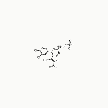 CC(=O)c1sc2nc(NCCS(C)(=O)=O)nc(-c3ccc(Cl)c(Cl)c3)c2c1N